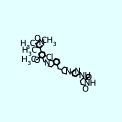 COc1cc(-c2cn(C)c(=O)c(C)c2C)cc(Cl)c1CN1CCc2c(CC3CCN(c4ccc(NC5CCC(=O)NC5=O)nc4)CC3)cccc2C1